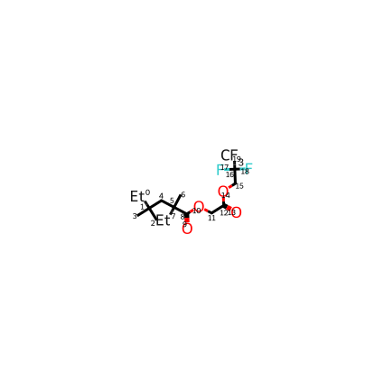 CCC(C)(C)CC(C)(CC)C(=O)OCC(=O)OCC(F)(F)C(F)(F)F